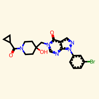 O=C(C1CC1)N1CCC(O)(Cn2cnc3c(cnn3-c3cccc(Br)c3)c2=O)CC1